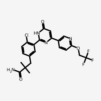 CC(C)(Cc1ccc(Cl)c(-c2nc(-c3ccc(OCC(F)(F)F)nc3)cc(=O)[nH]2)c1)C(N)=O